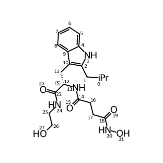 CC(C)Cc1[nH]c2ccccc2c1C[C@H](NC(=O)CCC(=O)NO)C(=O)NCCO